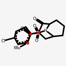 CC(C)(C)OC(=O)C1CC2CCCC(C1=O)N2S(=O)(=O)c1ccc(Cl)cc1